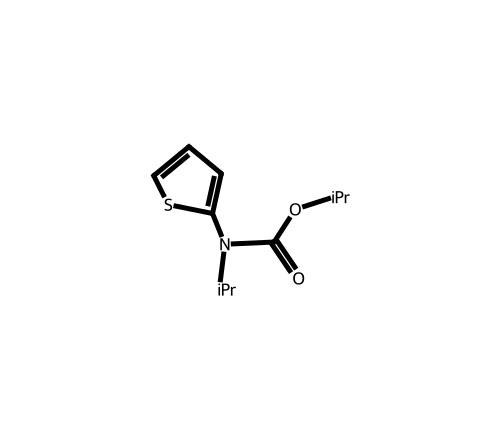 CC(C)OC(=O)N(c1cccs1)C(C)C